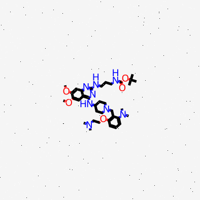 COc1cc2nc(NCCCNC(=O)OC(C)(C)C)nc(NC3CCN(Cc4c(OCCN(C)C)cccc4N(C)C)CC3)c2cc1OC